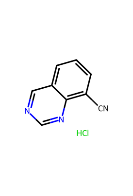 Cl.N#Cc1cccc2cncnc12